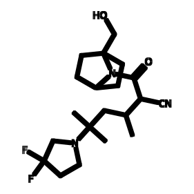 CC(CC(C)(C)N1CCC(F)(F)C1)C(C#N)C(=O)N1C2CCC1(CO)CC2